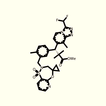 COC(=O)C(C)(C)[C@H](c1ccc(C)c(CN2CC3(CC3)Oc3ncccc3S2(=O)=O)c1)c1ccn2c(C(F)F)nnc2c1C